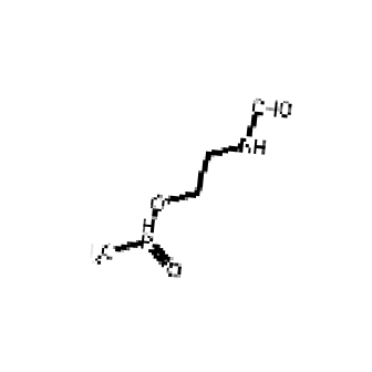 C[PH](=O)OCCNC=O